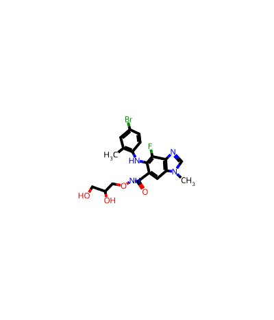 Cc1cc(Br)ccc1Nc1c(C(=O)NOCC(O)CO)cc2c(ncn2C)c1F